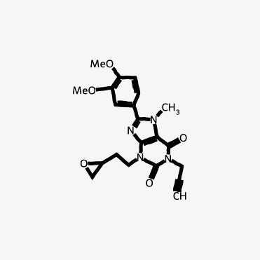 C#CCn1c(=O)c2c(nc(-c3ccc(OC)c(OC)c3)n2C)n(CCC2CO2)c1=O